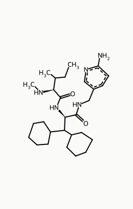 CCC(C)[C@H](NC)C(=O)N[C@@H](C(=O)NCc1ccc(N)nc1)C(C1CCCCC1)C1CCCCC1